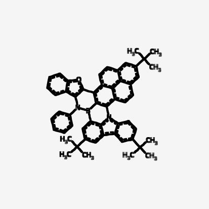 CC(C)(C)c1cc2ccc3c4c5c(c6ccc(c1)c2c36)-n1c2ccc(C(C)(C)C)cc2c2cc(C(C)(C)C)cc(c21)B5N(c1ccccc1)c1c-4oc2ccccc12